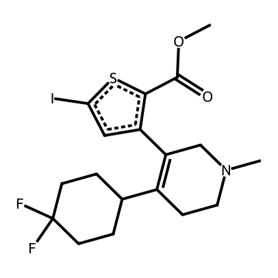 COC(=O)c1sc(I)cc1C1=C(C2CCC(F)(F)CC2)CCN(C)C1